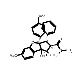 COc1ccc([C@@]23Oc4cc(OC)cnc4C2(O)[C@H](O)[C@H](C(=O)N(C)C)[C@H]3c2ccccc2)cc1